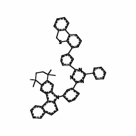 CC1(C)CCC(C)(C)c2cc3c(cc21)c1c2ccccc2ccc1n3-c1cccc(-c2nc(-c3ccccc3)nc(-c3cccc(-c4cccc5c4SCc4ccccc4-5)c3)n2)c1